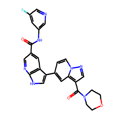 O=C(Nc1cncc(F)c1)c1cnc2[nH]cc(-c3ccn4ncc(C(=O)N5CCOCC5)c4c3)c2c1